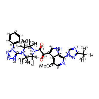 [2H]C([2H])([2H])c1ncn(-c2ncc(OC)c3c(C(=O)C(=O)N4C([2H])([2H])C([2H])([2H])N(c5nnnn5-c5ccccc5)C([2H])([2H])C4([2H])[2H])c[nH]c23)n1